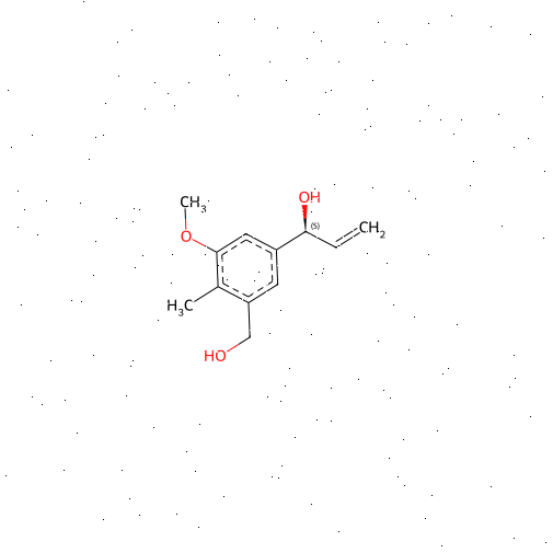 C=C[C@H](O)c1cc(CO)c(C)c(OC)c1